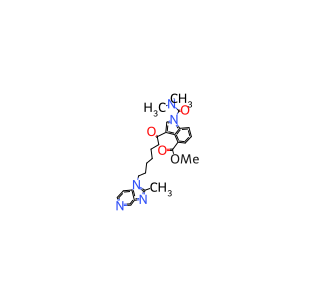 COC(=O)c1cccc2c1c(C(=O)CCCCCCn1c(C)nc3cnccc31)cn2C(=O)N(C)C